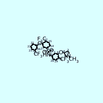 CN1CCC(Oc2cc(NS(=O)(=O)c3ccc(C(F)(F)F)c(Oc4cccc(C(F)(F)F)c4)c3)ccc2C(F)(F)F)C1